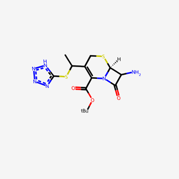 CC(Sc1nnn[nH]1)C1=C(C(=O)OC(C)(C)C)N2C(=O)C(N)[C@@H]2SC1